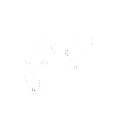 C[C@@H](CC1CCCCC1)NCc1ccccc1NC(=O)c1ccncc1